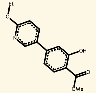 CCOc1ccc(-c2ccc(C(=O)OC)c(O)c2)cn1